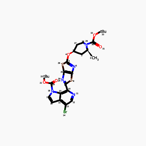 C[C@H]1C[C@@H](Oc2nc3sc(-c4ncc(Br)c5ccn(C(=O)OC(C)(C)C)c45)nc3s2)CCN1C(=O)OC(C)(C)C